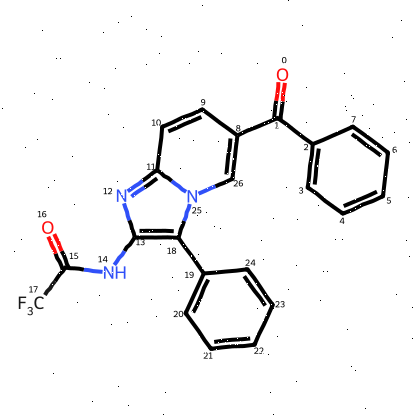 O=C(c1ccccc1)c1ccc2nc(NC(=O)C(F)(F)F)c(-c3ccccc3)n2c1